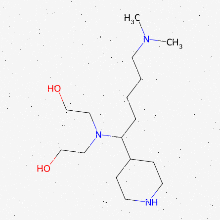 CN(C)CCCCC(C1CCNCC1)N(CCO)CCO